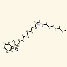 CCCCCCCC/C=C\CCCCCCCCOS(=O)(=O)c1ccccc1